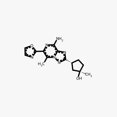 Cc1c(-c2ncco2)nc(N)c2nc([C@@H]3CC[C@@](C)(O)C3)nn12